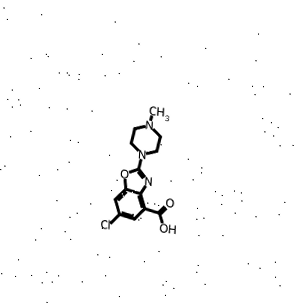 CN1CCN(c2nc3c(C(=O)O)cc(Cl)cc3o2)CC1